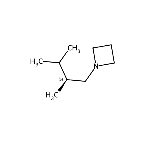 CC(C)[C@H](C)CN1CCC1